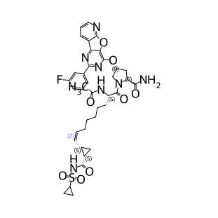 CC(=O)N[C@@H](CCCCC/C=C\[C@@H]1C[C@@H]1C(=O)NS(=O)(=O)C1CC1)C(=O)N1C[C@H](Oc2nc(-c3cccc(F)c3)nc3c2oc2ncccc23)C[C@H]1C(N)=O